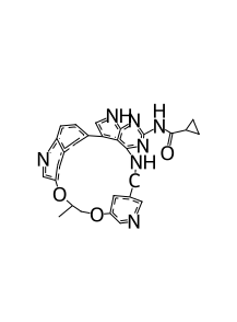 CC1COc2cncc(c2)CNc2nc(NC(=O)C3CC3)nc3[nH]cc(c23)-c2ccc3ncc(cc3c2)O1